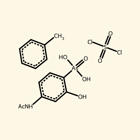 CC(=O)Nc1ccc([As](=O)(O)O)c(O)c1.Cc1ccccc1.O=S(=O)(Cl)Cl